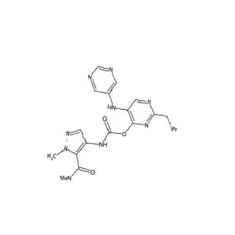 CNC(=O)c1c(NC(=O)Oc2nc(CC(C)C)ncc2Nc2cncnc2)cnn1C